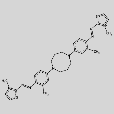 Cc1cc(N2CCCN(c3ccc(/N=N/c4scc[n+]4C)c(C)c3)CCC2)ccc1/N=N/c1scc[n+]1C